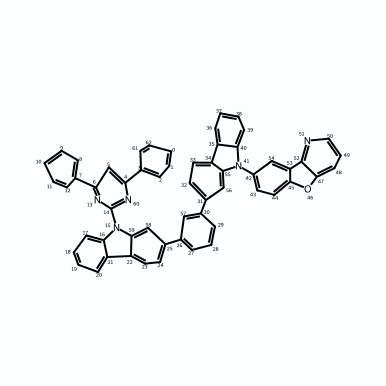 c1ccc(-c2cc(-c3ccccc3)nc(-n3c4ccccc4c4ccc(-c5cccc(-c6ccc7c8ccccc8n(-c8ccc9oc%10cccnc%10c9c8)c7c6)c5)cc43)n2)cc1